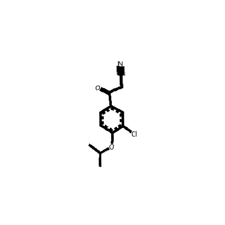 CC(C)Oc1ccc(C(=O)CC#N)cc1Cl